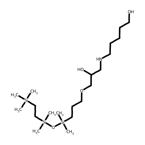 C[Si](C)(C)CC[Si](C)(C)O[Si](C)(C)CCCOCC(O)CNCCCCCO